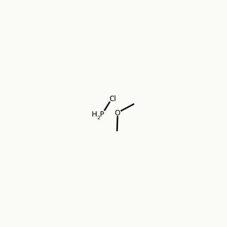 COC.PCl